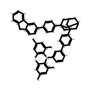 Cc1cc(C)c(B(c2cccc(-c3ccc(C45CC6CC(C4)CC(c4ccc(-c7ccc8c(c7)-c7ccccc7C8)cc4)(C6)C5)cc3)c2)c2c(C)cc(C)cc2C)c(C)c1